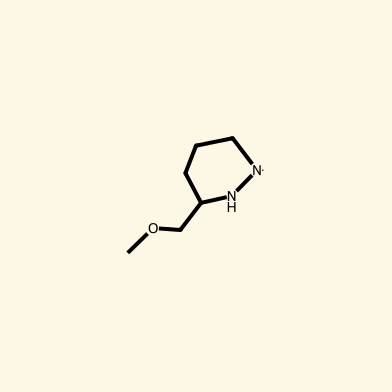 COCC1CCC[N]N1